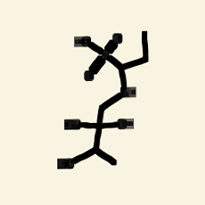 CCC(NCC(O)(O)C(C)O)S(=O)(=O)O